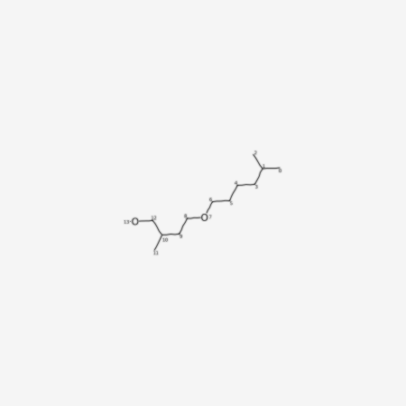 CC(C)CCCCOCCC(C)C[O]